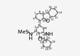 CSNc1cc(-c2cccc3c2oc2ccccc23)cc(Nc2ccccc2)c1C